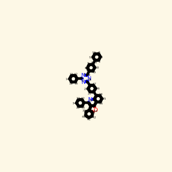 c1ccc(-c2ccc(-c3nc(-c4ccccc4)nc(-c4ccc(-c5cccc6c5nc(-c5ccccc5)c5c7ccccc7oc65)cc4)n3)cc2)cc1